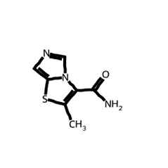 Cc1sc2cncn2c1C(N)=O